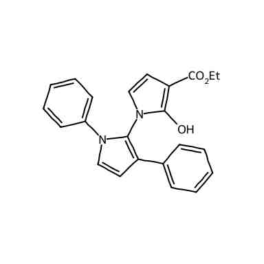 CCOC(=O)c1ccn(-c2c(-c3ccccc3)ccn2-c2ccccc2)c1O